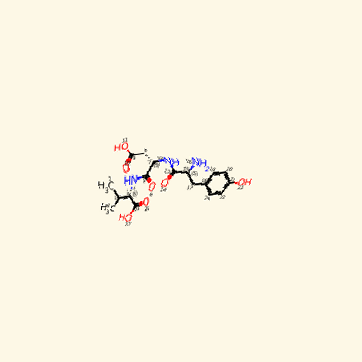 CC(C)[C@H](NC(=O)[C@H](CC(=O)O)NC(=O)[C@@H](N)Cc1ccc(O)cc1)C(=O)O